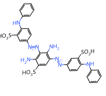 Nc1c(/N=N/c2ccc(Nc3ccccc3)c(S(=O)(=O)O)c2)cc(S(=O)(=O)O)c(N)c1/N=N/c1ccc(Nc2ccccc2)c(S(=O)(=O)O)c1